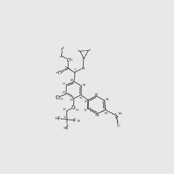 CCOC(=O)C(CC1CC1)c1cc(Cl)c(OCC(F)(F)F)c(-c2ccc(SC)cc2)c1